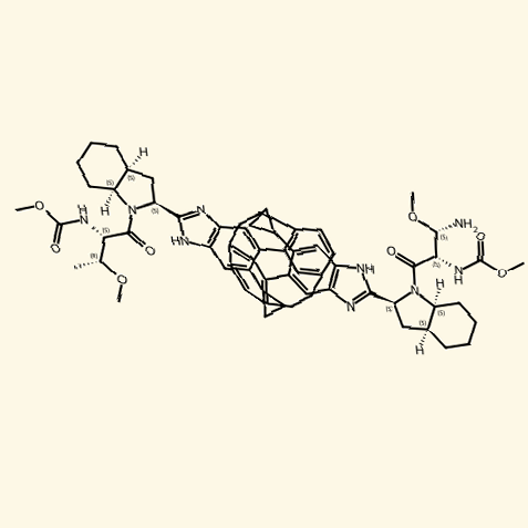 COC(=O)N[C@H](C(=O)N1[C@H](c2nc3cc(-c4cc5ccc4CCc4ccc(c(-c6cc7nc([C@@H]8C[C@@H]9CCCC[C@@H]9N8C(=O)[C@@H](NC(=O)OC)[C@@H](N)OC)[nH]c7cc6C6CC6)c4)CC5)c(C4CC4)cc3[nH]2)C[C@@H]2CCCC[C@@H]21)[C@@H](C)OC